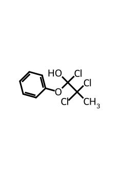 CC(Cl)(Cl)C(O)(Cl)Oc1ccccc1